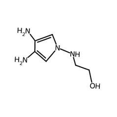 Nc1cn(NCCO)cc1N